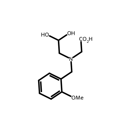 COc1ccccc1CN(CC(=O)O)CC(O)O